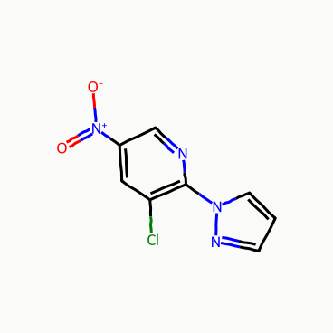 O=[N+]([O-])c1cnc(-n2cccn2)c(Cl)c1